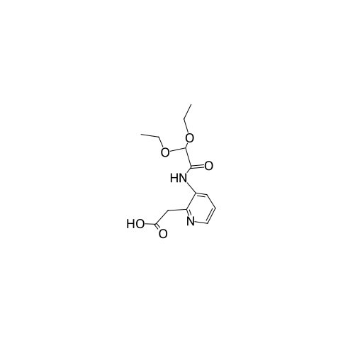 CCOC(OCC)C(=O)Nc1cccnc1CC(=O)O